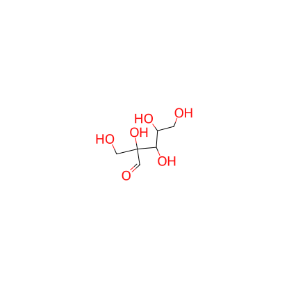 O=CC(O)(CO)C(O)C(O)CO